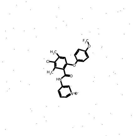 Cc1cc(Oc2ccc(OC(F)(F)F)cc2)c(C(=O)Nc2ccc[n+]([O-])c2)c(C)c1Cl